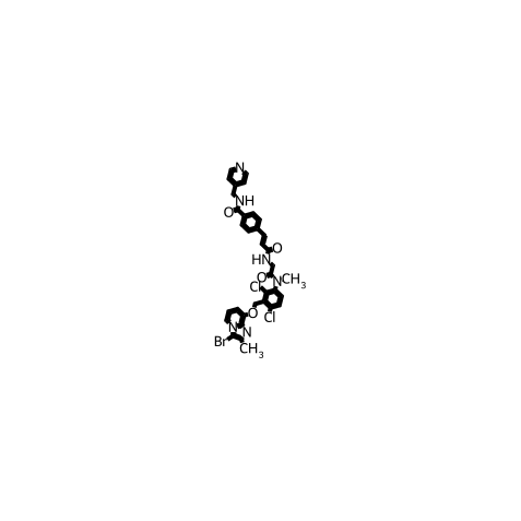 Cc1nc2c(OCc3c(Cl)ccc(N(C)C(=O)CNC(=O)/C=C/c4ccc(C(=O)NCc5ccncc5)cc4)c3Cl)cccn2c1Br